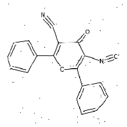 [C-]#[N+]c1c(-c2ccccc2)oc(-c2ccccc2)c(C#N)c1=O